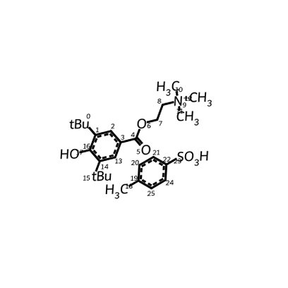 CC(C)(C)c1cc(C(=O)OCC[N+](C)(C)C)cc(C(C)(C)C)c1O.Cc1ccc(S(=O)(=O)O)cc1